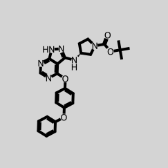 CC(C)(C)OC(=O)N1CC[C@@H](Nc2n[nH]c3ncnc(Oc4ccc(Oc5ccccc5)cc4)c23)C1